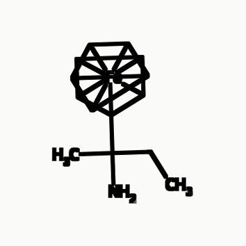 CCC(C)(N)[C]12[CH]3[CH]4[CH]5[CH]1[Fe]45321678[CH]2[CH]1[CH]6[CH]7[CH]28